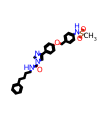 CS(=O)(=O)Nc1ccc(COc2ccc(-c3cn(C(=O)NCCCCc4ccccc4)cn3)cc2)cc1